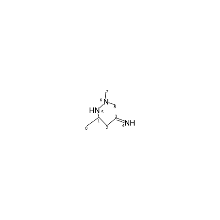 CC(CC=N)NN(C)C